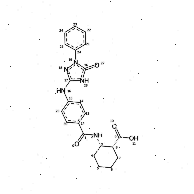 O=C(N[C@H]1CCCC[C@H]1C(=O)O)c1ccc(Nc2nn(-c3ccccc3)c(=O)[nH]2)cc1